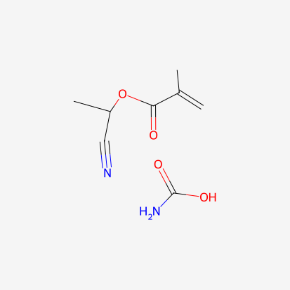 C=C(C)C(=O)OC(C)C#N.NC(=O)O